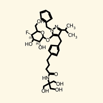 CC(C)c1nn(Cc2ccccc2)c(OC2OC(CO)[C@@H](F)C(O)[C@H]2O)c1Cc1ccc(CCCC(=O)NC(CO)(CO)CO)cc1